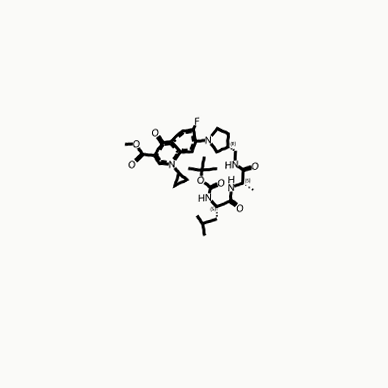 COC(=O)c1cn(C2CC2)c2cc(N3CC[C@H](CNC(=O)[C@H](C)NC(=O)[C@H](CC(C)C)NC(=O)OC(C)(C)C)C3)c(F)cc2c1=O